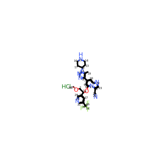 COCC(Oc1cc(-c2nnn(C3CCNCC3)c2C)cc2ncc(C#N)n12)c1cncc(C(F)(F)F)c1.Cl